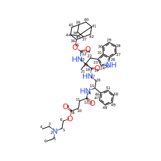 CCN(CC)CCOC(=O)CCC(=O)NC(CNC(=O)C(C)(Cc1c[nH]c2ccccc12)NC(=O)OC1C2CC3CC(C2)CC1C3)c1ccccc1